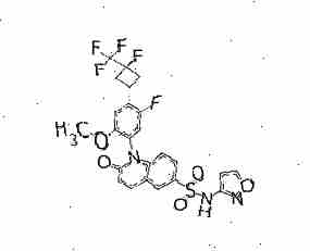 COc1cc([C@H]2C[C@@](F)(C(F)(F)F)C2)c(F)cc1-n1c(=O)ccc2cc(S(=O)(=O)Nc3ccon3)ccc21